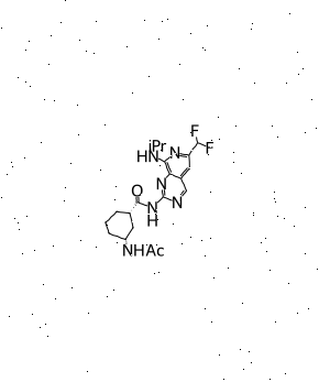 CC(=O)N[C@@H]1CCC[C@H](C(=O)Nc2ncc3cc(C(F)F)nc(NC(C)C)c3n2)C1